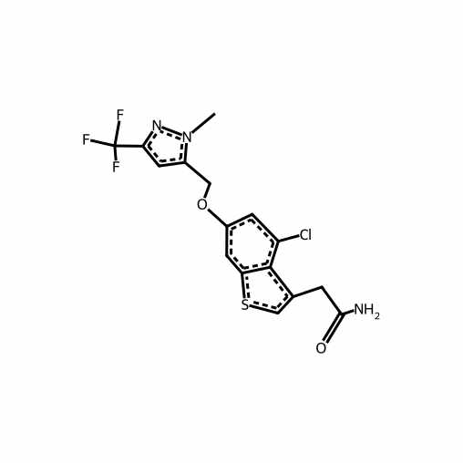 Cn1nc(C(F)(F)F)cc1COc1cc(Cl)c2c(CC(N)=O)csc2c1